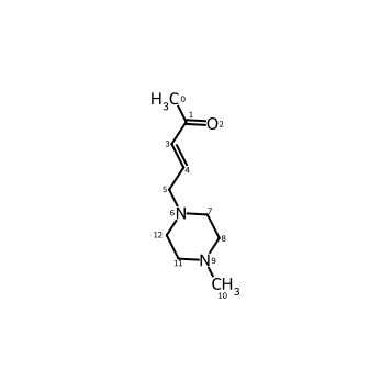 CC(=O)/C=C/CN1CCN(C)CC1